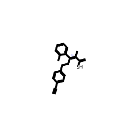 C#Cc1ccc(CC/C(=C(/C)C(=C)S)c2ccccc2C)cc1